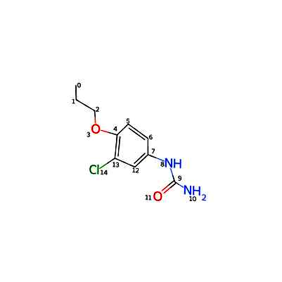 CCCOc1ccc(NC(N)=O)cc1Cl